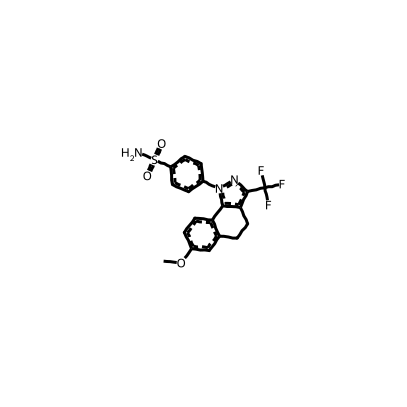 COc1ccc2c(c1)CCc1c(C(F)(F)F)nn(-c3ccc(S(N)(=O)=O)cc3)c1-2